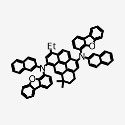 CCc1cc(N(c2ccc3ccccc3c2)c2cccc3c2oc2ccccc23)c2cc3c4c(cc(N(c5ccc6ccccc6c5)c5cccc6c5oc5ccccc56)c5ccc1c2c54)CCC3(C)C